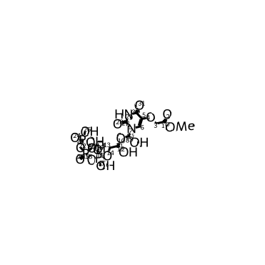 COC(=O)COc1cn([C@@H](O)OC(O)COP(=O)(O)OP(=O)(O)OP(=O)(O)O)c(=O)[nH]c1=O